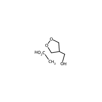 CC(=O)O.OCC1COOC1